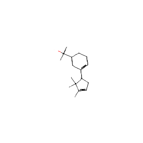 CC1=CCC(C2=CCCC(C(C)(C)O)C2)C1(C)C